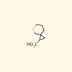 O=C(O)C1CC12CCCSC2